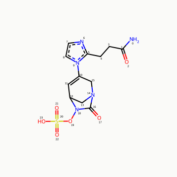 NC(=O)CCc1nccn1C1=CC2CN(C1)C(=O)N2OS(=O)(=O)O